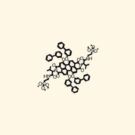 CO[Si](CCNC(=O)C(C(C)C)N1C(=O)c2cc(Oc3cccc(-c4ccccc4)c3)c3c4c(Oc5cccc(-c6ccccc6)c5)cc5c6c(cc(Oc7cccc(-c8ccccc8)c7)c(c7c(Oc8cccc(-c9ccccc9)c8)cc(c2c37)C1=O)c64)C(=O)N(C(C(=O)NCC[Si](OC)(OC)OC)C(C)C)C5=O)(OC)OC